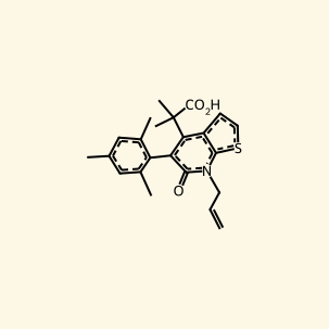 C=CCn1c(=O)c(-c2c(C)cc(C)cc2C)c(C(C)(C)C(=O)O)c2ccsc21